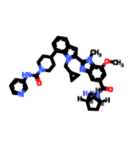 COc1cc(C(=O)N2C[C@H]3CC[C@@H]2[C@@H]3N)cc2nc(-c3cc4cccc(C5CCN(C(=O)Nc6cccnc6)CC5)c4n3CC3CC3)n(C)c12